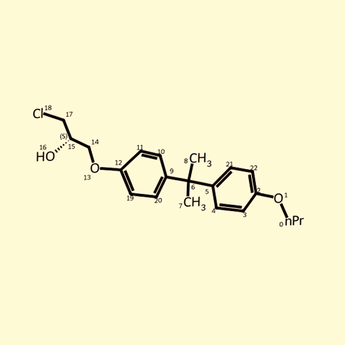 [CH2][CH]COc1ccc(C(C)(C)c2ccc(OC[C@H](O)CCl)cc2)cc1